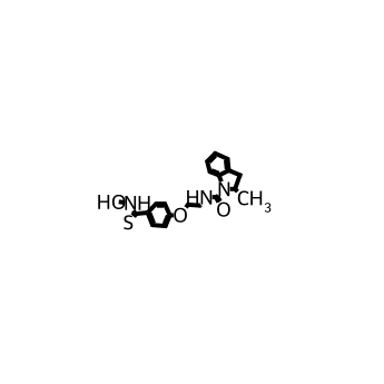 CC1Cc2ccccc2N1C(=O)NCCOc1ccc(C(=S)NO)cc1